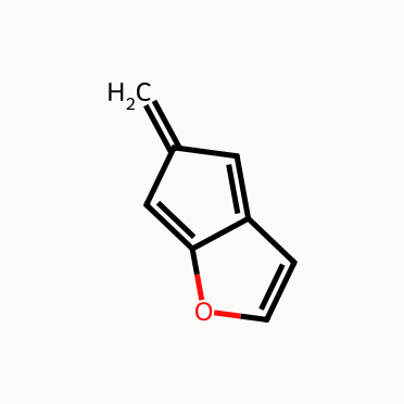 C=C1C=c2ccoc2=C1